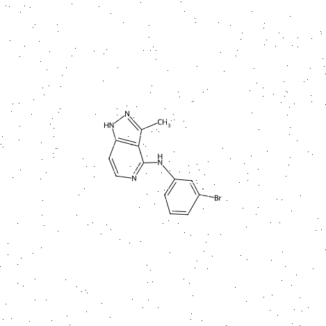 Cc1n[nH]c2ccnc(Nc3cccc(Br)c3)c12